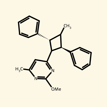 COc1nc(C)cc(C2[C@H](c3ccccc3)C(C)[C@H]2c2ccccc2)n1